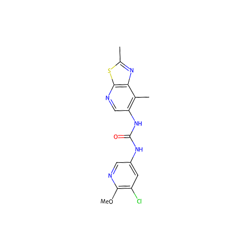 COc1ncc(NC(=O)Nc2cnc3sc(C)nc3c2C)cc1Cl